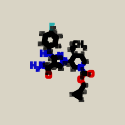 C=C[C@@H]1CCN(C(=O)OCC2CC2)C[C@H]1n1cc(C(N)=O)c(Nc2ccc(F)cc2)n1